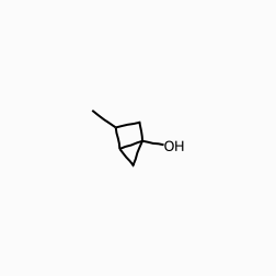 CC1CC2(O)CC12